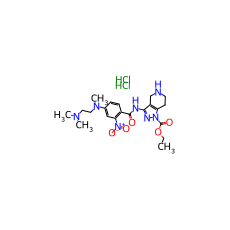 CCOC(=O)n1nc(NC(=O)c2ccc(N(C)CCN(C)C)cc2[N+](=O)[O-])c2c1CCNC2.Cl.Cl